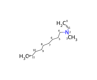 C=CN(C)CCCCCCCCC